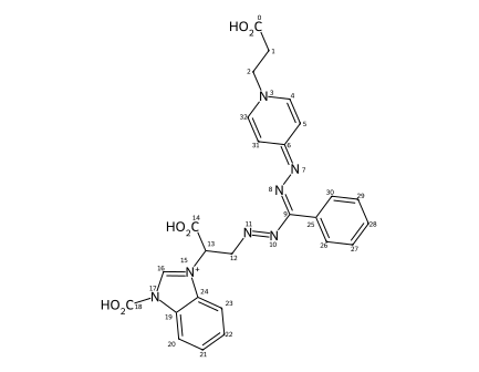 O=C(O)CCn1ccc(=NN=C(N=NCC(C(=O)O)[n+]2cn(C(=O)O)c3ccccc32)c2ccccc2)cc1